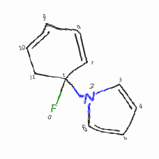 FC1(n2cccc2)C=CC=CC1